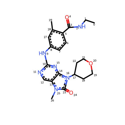 CCNC(=O)c1ccc(Nc2ncc3c(n2)n(C2CCOCC2)c(=O)n3C)cc1C